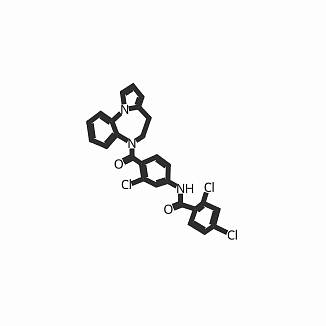 O=C(Nc1ccc(C(=O)N2CCc3cccn3-c3ccccc32)c(Cl)c1)c1ccc(Cl)cc1Cl